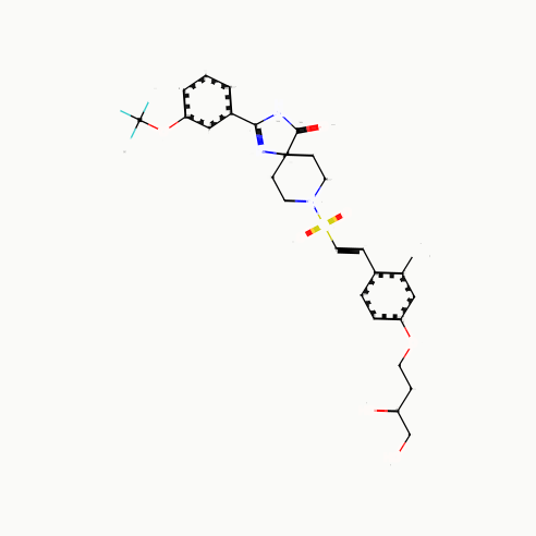 Cc1cc(OCCC(O)CO)ccc1/C=C/S(=O)(=O)N1CCC2(CC1)N=C(c1cccc(OC(F)(F)F)c1)NC2=O